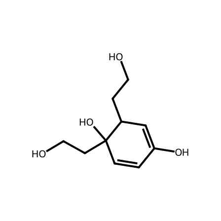 OCCC1C=C(O)C=CC1(O)CCO